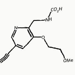 C#Cc1cnc(CNC(=O)O)c(OCCOC)c1